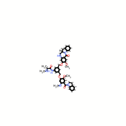 C=Nc1cc(OCc2cc(COc3cc4c(cc3OC)C(=O)N3c5ccccc5C[C@H]3CN4)cc(NC(=O)[C@H](C)NC)c2)c(OC)cc1C(=O)N1CCc2ccccc21